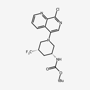 CC(C)(C)OC(=O)N[C@@H]1C[C@H](C(F)(F)F)CN(c2cnc(Cl)c3ncccc23)C1